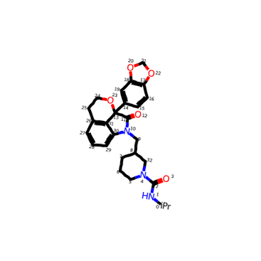 CC(C)NC(=O)N1CCCC(CN2C(=O)C3(c4ccc5c(c4)OCO5)OCCc4cccc2c43)C1